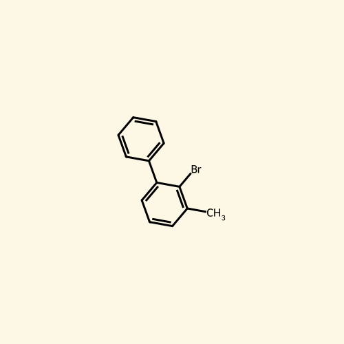 Cc1cccc(-c2ccccc2)c1Br